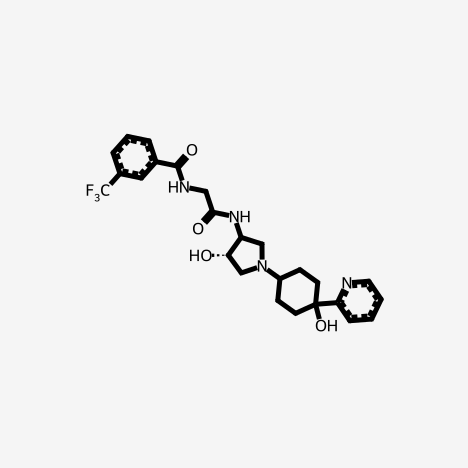 O=C(CNC(=O)c1cccc(C(F)(F)F)c1)NC1CN(C2CCC(O)(c3ccccn3)CC2)C[C@@H]1O